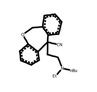 CCCCN(CC)CCC1(C#N)c2ccccc2COc2ccccc21